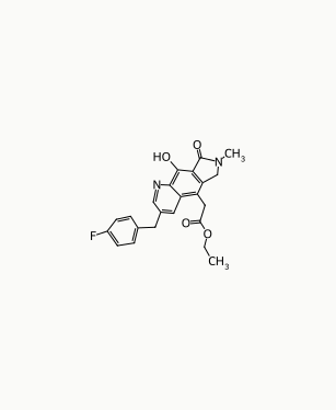 CCOC(=O)Cc1c2c(c(O)c3ncc(Cc4ccc(F)cc4)cc13)C(=O)N(C)C2